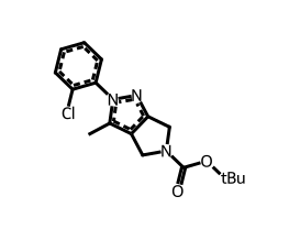 Cc1c2c(nn1-c1ccccc1Cl)CN(C(=O)OC(C)(C)C)C2